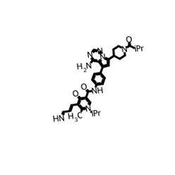 Cc1c(/C=C/C=N)c(=O)c(C(=O)Nc2ccc(-c3cc(C4CCN(C(=O)C(C)C)CC4)n4ncnc(N)c34)cc2)cn1C(C)C